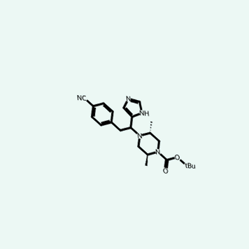 C[C@@H]1CN(C(=O)OC(C)(C)C)[C@@H](C)CN1C(Cc1ccc(C#N)cc1)c1cnc[nH]1